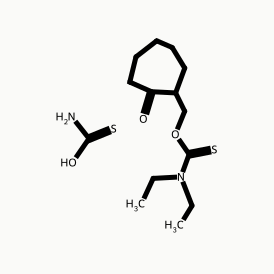 CCN(CC)C(=S)OCC1CCCCCC1=O.NC(O)=S